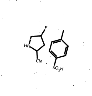 Cc1ccc(S(=O)(=O)O)cc1.N#CC1CC(F)CN1